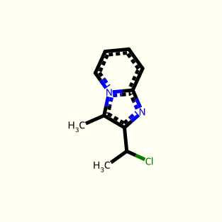 Cc1c(C(C)Cl)nc2ccccn12